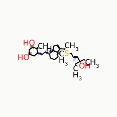 C=C1/C(=C\C=C2/CCC[C@]3(C)C(C(C)SC/C=C/C(O)(CC)CC)=CC[C@@H]23)C[C@@H](O)C[C@@H]1O